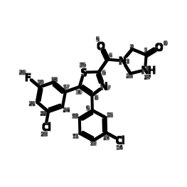 O=C1CN(C(=O)c2nc(-c3cccc(Cl)c3)c(-c3cc(F)cc(Cl)c3)s2)CN1